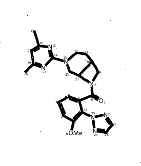 COc1cccc(C(=O)N2CC3CCN(c4nc(C)cc(C)n4)CC32)c1-n1nccn1